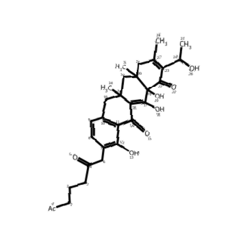 CC(=O)CCCC(=O)Cc1ccc2c(c1O)C(=O)C1=C(O)C3(O)C(=O)C(C(C)O)=C(C)CC3(C)CC1(C)C2